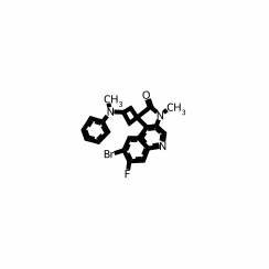 CN1C(=O)C2(CC(N(C)c3ccccc3)C2)c2c1cnc1cc(F)c(Br)cc21